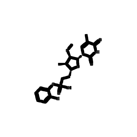 CO[C@@H]1[C@H](C)[C@@H](CCP(=O)(O)Oc2ccccc2Cl)O[C@H]1n1cc(C)c(=O)[nH]c1=O